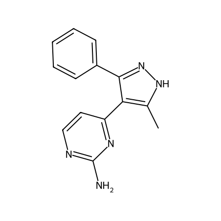 Cc1[nH]nc(-c2ccccc2)c1-c1ccnc(N)n1